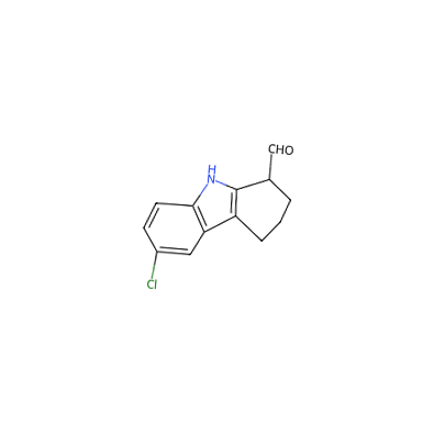 O=CC1CCCc2c1[nH]c1ccc(Cl)cc21